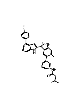 CN(C)CC(=O)Nc1cncc(-c2cc3c(-c4cc5c(-c6ccc(F)cc6)cccc5[nH]4)n[nH]c3cc2I)c1